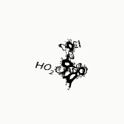 Cc1cc(C)cc(C2(NC(=O)c3cc(COc4cc(Cl)ccc4Cl)ccc3CCC(=O)O)CCOCC2)c1